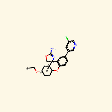 CC(C)(C)CO[C@H]1CCC2Oc3ccc(-c4cncc(Cl)c4)cc3[C@]3(COC(N)=N3)[C@H]2C1